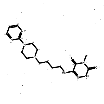 Cn1c(=O)[nH]nc(NCCCCN2CCN(c3ncccn3)CC2)c1=O